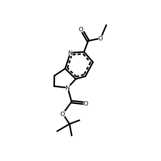 COC(=O)c1ccc2c(n1)CCN2C(=O)OC(C)(C)C